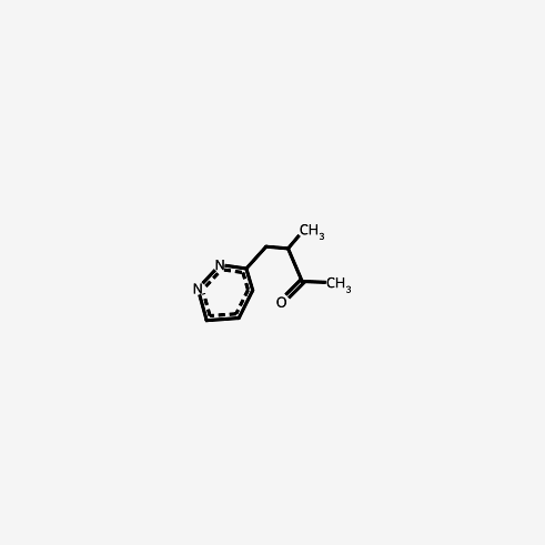 CC(=O)C(C)Cc1cccnn1